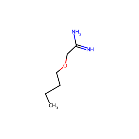 CCCCOCC(=N)N